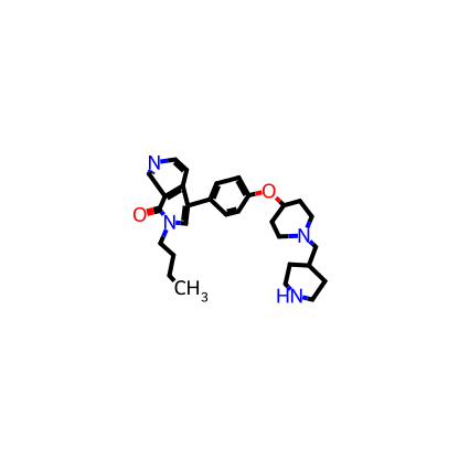 CCCCn1cc(-c2ccc(OC3CCN(CC4CCNCC4)CC3)cc2)c2ccncc2c1=O